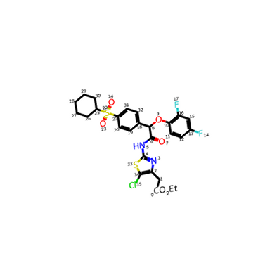 CCOC(=O)Cc1nc(NC(=O)C(Oc2ccc(F)cc2F)c2ccc(S(=O)(=O)C3CCCCC3)cc2)sc1Cl